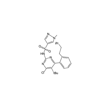 CC(C)CCc1ccccc1-c1nc(NS(=O)(=O)c2cnn(C)c2)nc(Cl)c1C(C)(C)C